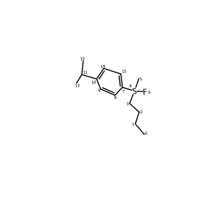 CCCCS(C)(F)c1ccc(C(C)C)cc1